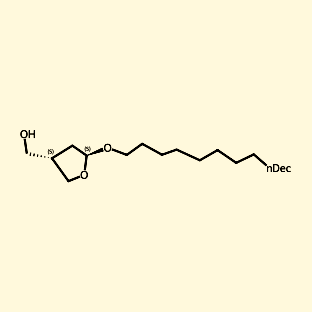 CCCCCCCCCCCCCCCCCCO[C@@H]1C[C@@H](CO)CO1